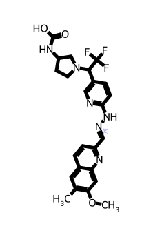 COc1cc2nc(/C=N/Nc3ccc(C(N4CCC(NC(=O)O)C4)C(F)(F)F)cn3)ccc2cc1C